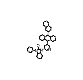 O=c1n(-c2ccccc2)c2ccccc2n1-c1cncc(-c2c3ccccc3c(-c3ccc4ccccc4c3)c3ccccc23)c1